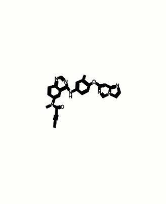 CC#CC(=O)N(C)c1ccc2ncnc(Nc3ccc(Oc4cc5nccn5cn4)c(C)c3)c2c1